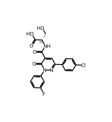 O=C(N[C@@H](CO)C(=O)O)c1cc(-c2ccc(Cl)cc2)nn(-c2cccc(F)c2)c1=O